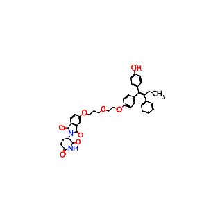 CC/C(=C(\c1ccc(O)cc1)c1ccc(OCCOCCCOc2ccc3c(c2)C(=O)N(C2CCC(=O)NC2=O)C3=O)cc1)c1ccccc1